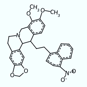 COc1ccc2c(c1OC)CN1CCc3cc4c(cc3C1C2CCc1ccc([N+](=O)[O-])c2ccccc12)OCO4